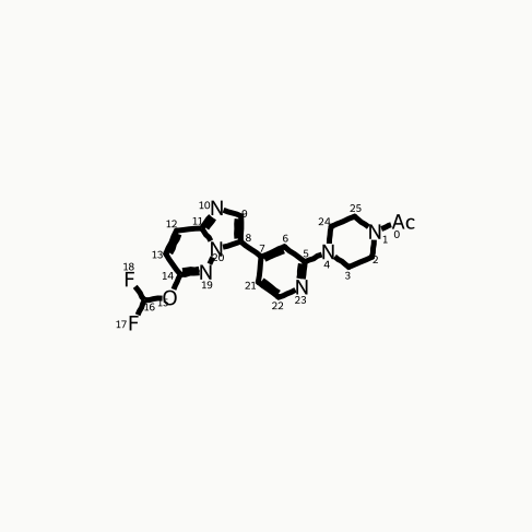 CC(=O)N1CCN(c2cc(-c3cnc4ccc(OC(F)F)nn34)ccn2)CC1